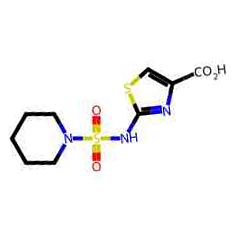 O=C(O)c1csc(NS(=O)(=O)N2CCCCC2)n1